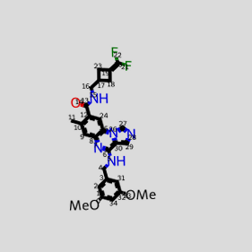 COc1cc(CNc2nc3cc(C)c(C(=O)NCC4CC(=C(F)F)C4)cc3n3cncc23)cc(OC)c1